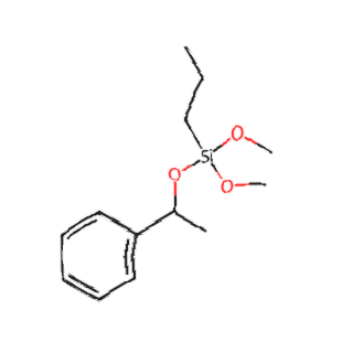 CCC[Si](OC)(OC)OC(C)c1ccccc1